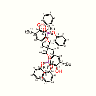 CC(OP(Oc1ccccc1)Oc1ccccc1)C(Cc1cc(C(C)(C)C)c(O)c(C(C)(C)C)c1)(Cc1cc(C(C)(C)C)c(O)c(C(C)(C)C)c1)C(C)OP(Oc1ccccc1)Oc1ccccc1